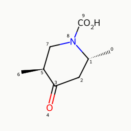 C[C@@H]1CC(=O)[C@@H](C)CN1C(=O)O